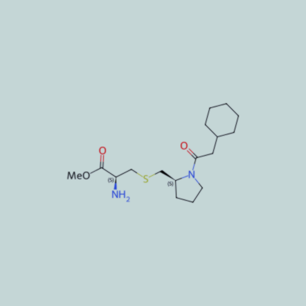 COC(=O)[C@H](N)CSC[C@@H]1CCCN1C(=O)CC1CCCCC1